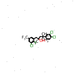 CC(C)(CC(O)(Cc1cc(C(F)(F)F)cc(Cl)c1F)C(F)(F)F)c1ccc(Cl)c(Cl)c1